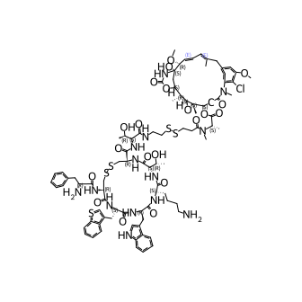 COc1cc2cc(c1Cl)N(C)C(=O)C[C@H](OC(=O)[C@H](C)N(C)C(=O)CCSSCCNC(=O)[C@@H](NC(=O)[C@@H]1CSSC[C@H](NC(=O)[C@H](N)Cc3ccccc3)C(=O)N[C@@H](Cc3csc4ccccc34)C(=O)N[C@H](Cc3c[nH]c4ccccc34)C(=O)N[C@@H](CCCCN)C(=O)N[C@@H]([C@@H](C)O)C(=O)N1)[C@@H](C)O)[C@]1(C)O[C@H]1[C@H](C)[C@@H]1C[C@@](O)(NC(=O)O1)[C@H](OC)/C=C/C=C(\C)C2